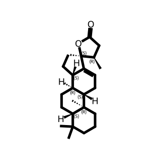 C[C@@H]1CC(=O)O[C@@]12CC[C@@H]1C2=CC[C@H]2[C@H]1CC[C@H]1C(C)(C)CCC[C@]21C